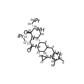 Cc1nc(CC2CCN(C(=O)[C@H](CC(C)C)N3CCN[C@@H](CC(C)C)C3=O)CC2)n(C2CC2)c1C